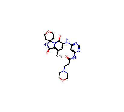 Cc1cc(Nc2cc(NC(=O)CCN3CCOCC3)ncn2)c(=O)n2c1C(=O)NC21CCOCC1